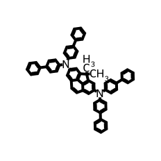 CC1(C)c2cc(N(c3ccc(-c4ccccc4)cc3)c3ccc(-c4ccccc4)cc3)cc3ccc4cc(N(c5ccc(-c6ccccc6)cc5)c5ccc(-c6ccccc6)cc5)cc1c4c23